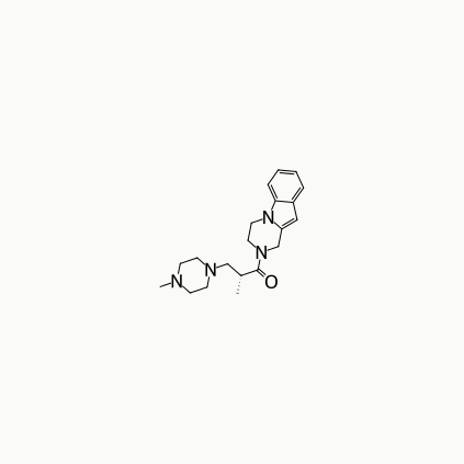 C[C@H](CN1CCN(C)CC1)C(=O)N1CCn2c(cc3ccccc32)C1